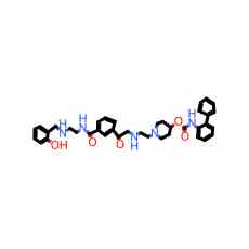 O=C(Nc1ccccc1-c1ccccc1)OC1CCN(CCNCC(=O)c2cccc(C(=O)NCCNCc3ccccc3O)c2)CC1